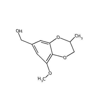 COc1cc(CO)cc2c1OCC(C)O2